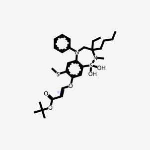 CCCCC1(CC)CN(c2ccccc2)c2cc(SC)c(O/C=C/C(=O)OC(C)(C)C)cc2S(O)(O)N1C